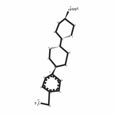 CCCCCCC[C@H]1CC[C@H]([C@H]2CC[C@H](c3ccc(CC(F)(F)F)cc3)CC2)CC1